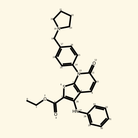 CCOC(=O)c1sc2c(ccc(=O)n2-c2ccc(CN3CCCC3)cc2)c1Nc1ccccc1